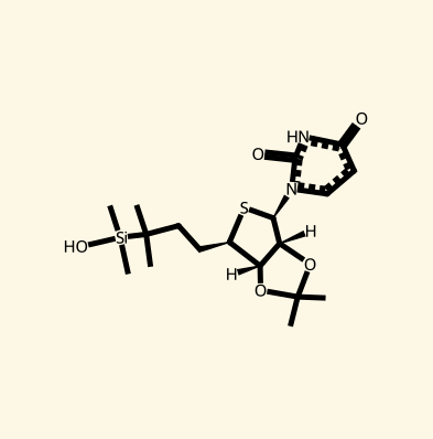 CC1(C)O[C@@H]2[C@H](O1)[C@@H](CCC(C)(C)[Si](C)(C)O)S[C@H]2n1ccc(=O)[nH]c1=O